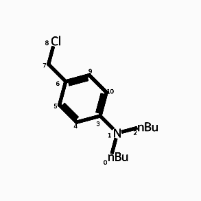 CCCCN(CCCC)c1ccc(CCl)cc1